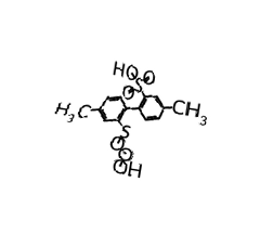 Cc1ccc(-c2ccc(C)cc2S(=O)(=O)O)c(SOOO)c1